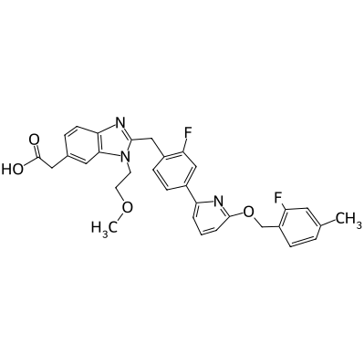 COCCn1c(Cc2ccc(-c3cccc(OCc4ccc(C)cc4F)n3)cc2F)nc2ccc(CC(=O)O)cc21